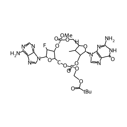 COP1(=O)OC[C@H]2O[C@@H](n3cnc4c(=O)[nH]c(N)nc43)C(OP(=O)(OCOC(=O)C(C)(C)C)OCC3OC(n4cnc5c(N)ncnc54)C(F)C3O1)C2C